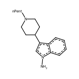 CCCCCN1CCC(c2cn(N)c3ccccc23)CC1